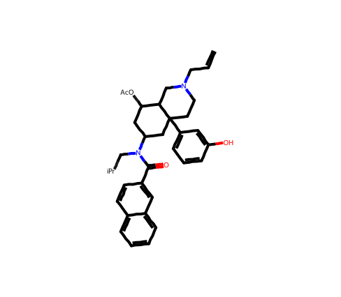 C=CCN1CCC2(c3cccc(O)c3)CC(N(CC(C)C)C(=O)c3ccc4ccccc4c3)CC(OC(C)=O)C2C1